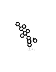 CC(C)(C)c1ccc2c(c1)Oc1cc(-c3c4ccccc4c(-c4ccc(-c5ccccc5)c5ccccc45)c4ccccc34)cc3c1B2c1ccccc1O3